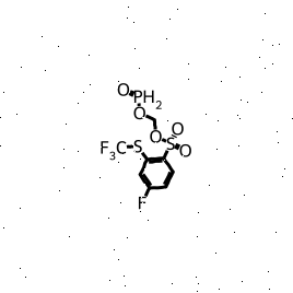 O=[PH2]OCOS(=O)(=O)c1ccc(F)cc1SC(F)(F)F